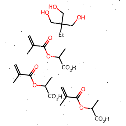 C=C(C)C(=O)OC(C)C(=O)O.C=C(C)C(=O)OC(C)C(=O)O.C=C(C)C(=O)OC(C)C(=O)O.CCC(CO)(CO)CO